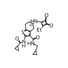 CCc1c(N[C@@H]2CCc3sc(NC(=O)C4CC4)c(C(=O)NCC4CC4)c3C2)c(=O)c1=O